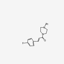 CC(C)N1CCN(C(=O)C=Cc2ccc(F)cc2)CC1